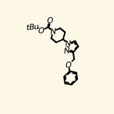 CC(C)(C)OC(=O)N1CCC(n2ccc(COc3ccccc3)n2)CC1